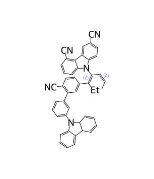 C/C=C\C(=C(/CC)c1ccc(C#N)c(-c2cccc(N3c4ccccc4C4C=CC=CC43)c2)c1)n1c2ccc(C#N)cc2c2c(C#N)cccc21